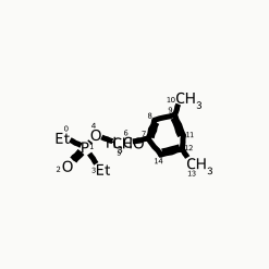 CCP(=O)(CC)OC=O.Cc1cc(C)cc(C)c1